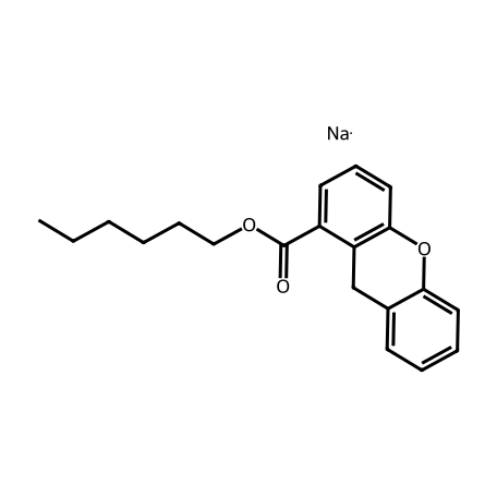 CCCCCCOC(=O)c1cccc2c1Cc1ccccc1O2.[Na]